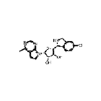 Cc1ncnc2c1ccn2[C@@H]1O[C@H]([C@@H]2NCc3cc(Cl)ccc32)[C@@H](O)[C@H]1O